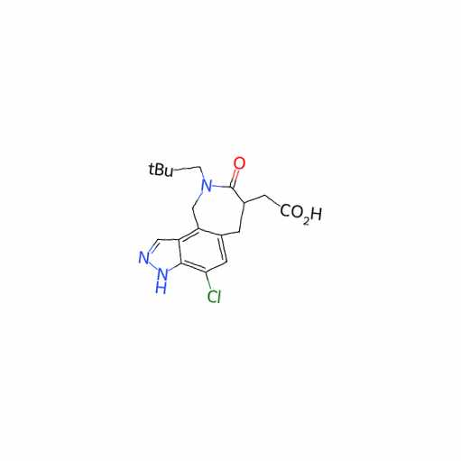 CC(C)(C)CN1Cc2c(cc(Cl)c3[nH]ncc23)CC(CC(=O)O)C1=O